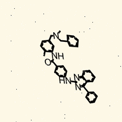 Cc1ccc(CN(C)Cc2ccccc2)cc1NC(=O)c1ccc(Nc2nc(-c3ccccc3)c3ccccc3n2)cc1